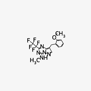 CNc1nc(C(F)(F)C(F)(F)F)nc2c(Cc3ccccc3OC)cnn12